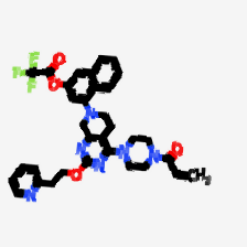 C=CC(=O)N1CCN(c2nc(OCCc3ccccn3)nc3c2CCN(c2cc(OC(=O)C(F)(F)F)cc4ccccc24)C3)CC1